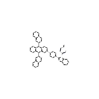 C=C/C=C\C(=C/C)n1c(-c2ccc(-c3ccc4c(-c5ccc6ccccc6c5)c5ccccc5c(-c5ccc6ccccc6c5)c4c3)cc2)nc2ccccc21